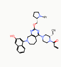 C=CC(=O)N1CCN(c2nc(OC[C@@H]3CCCN3C(C)C)nc3c2CCCN(c2cc(O)cc4ccccc24)C3)C[C@@H]1CC#N